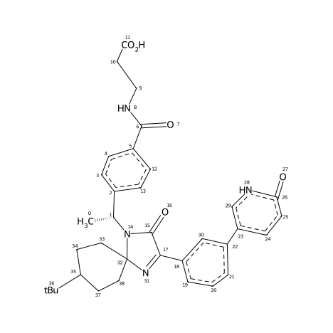 C[C@H](c1ccc(C(=O)NCCC(=O)O)cc1)N1C(=O)C(c2cccc(-c3ccc(=O)[nH]c3)c2)=NC12CCC(C(C)(C)C)CC2